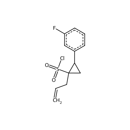 C=CCC1(S(=O)(=O)Cl)CC1c1cccc(F)c1